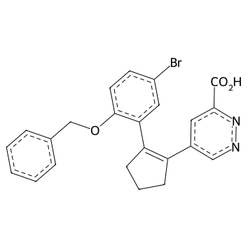 O=C(O)c1cc(C2=C(c3cc(Br)ccc3OCc3ccccc3)CCC2)cnn1